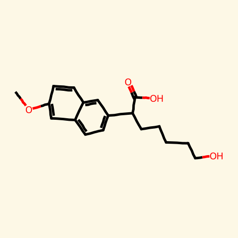 COc1ccc2cc(C(CCCCCO)C(=O)O)ccc2c1